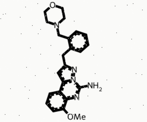 COc1cccc2c1nc(N)n1nc(Cc3ccccc3CN3CCOCC3)cc21